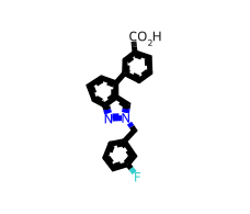 O=C(O)c1cccc(-c2cccc3nn(Cc4cccc(F)c4)cc23)c1